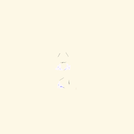 Cn1c(-c2cncc(Br)c2)nc2cc(F)c(F)cc21